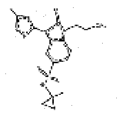 COCCn1c(=O)n(-c2nnc(C)s2)c2cc(S(=O)(=O)NC3(C)CC3)ccc21